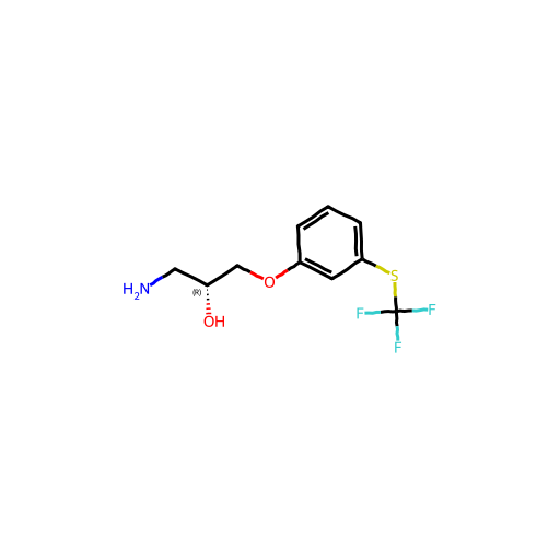 NC[C@@H](O)COc1cccc(SC(F)(F)F)c1